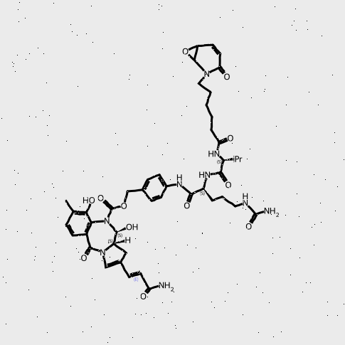 Cc1ccc2c(c1O)N(C(=O)OCc1ccc(NC(=O)[C@H](CCCNC(N)=O)NC(=O)[C@@H](NC(=O)CCCCCN3C(=O)C=CC4OC43)C(C)C)cc1)[C@@H](O)[C@@H]1CC(/C=C/C(N)=O)=CN1C2=O